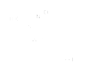 CCN1CC(C)SC1=CC(=O)c1ccc(C(Cl)(Cl)Cl)cc1